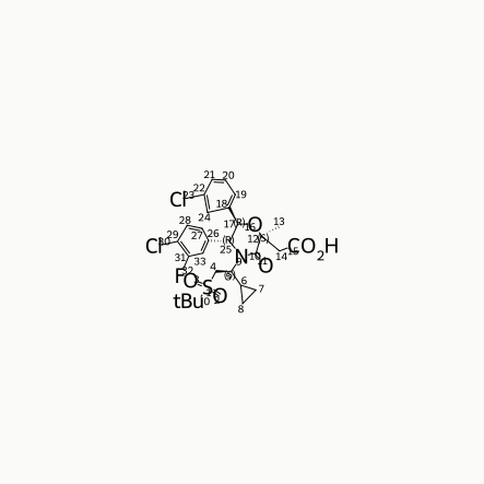 CC(C)(C)S(=O)(=O)C[C@H](C1CC1)N1C(=O)[C@](C)(CC(=O)O)O[C@H](c2cccc(Cl)c2)[C@H]1c1ccc(Cl)c(F)c1